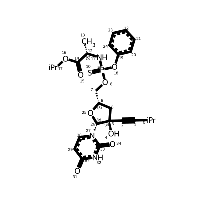 CC(C)C#C[C@@]1(O)C[C@@H](COP(=S)(N[C@@H](C)C(=O)OC(C)C)Oc2ccccc2)O[C@H]1n1ccc(=O)[nH]c1=O